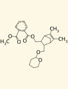 COC(=O)c1ccccc1C(=O)OCC1C2CC(C(C)=C2C)C1COC1CCCCO1